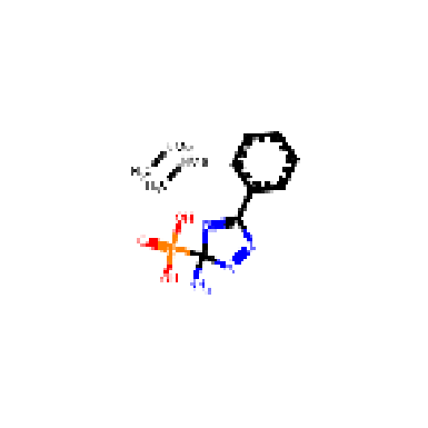 CNC.CNC.NC1(P(=O)(O)O)N=NC(c2ccccc2)=N1